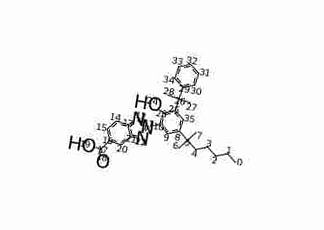 CCCCCC(C)(C)c1cc(-n2nc3ccc(C(=O)O)cc3n2)c(O)c(C(C)(C)c2ccccc2)c1